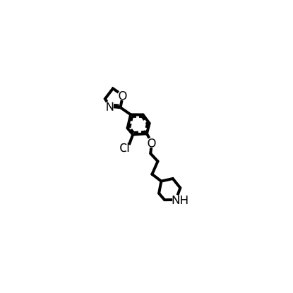 Clc1cc(C2=NCCO2)ccc1OCCCC1CCNCC1